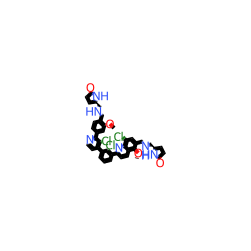 COc1cc(-c2nccc(-c3cccc(-c4ccc5c(OC)c(CNC[C@H]6CCC(=O)N6)cc(Cl)c5n4)c3Cl)c2Cl)ccc1CNC[C@H]1CCC(=O)N1